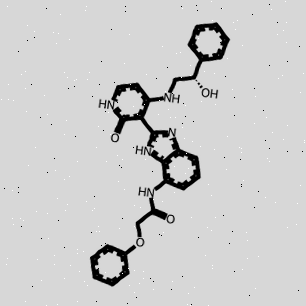 O=C(COc1ccccc1)Nc1cccc2nc(-c3c(NC[C@@H](O)c4ccccc4)cc[nH]c3=O)[nH]c12